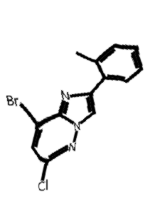 Cc1ccccc1-c1cn2nc(Cl)cc(Br)c2n1